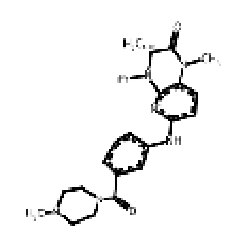 CC(C)N1c2nc(Nc3cccc(C(=O)N4CCN(C)CC4)c3)ccc2N(C)C(=O)[C@H]1C